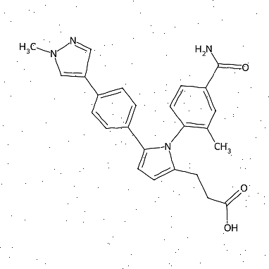 Cc1cc(C(N)=O)ccc1-n1c(CCC(=O)O)ccc1-c1ccc(-c2cnn(C)c2)cc1